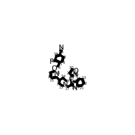 N#Cc1ccc(COc2cccc(C3CCN(Cc4nc5ccccc5n4Cc4ccon4)CC3)n2)c(F)c1